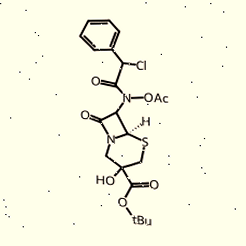 CC(=O)ON(C(=O)C(Cl)c1ccccc1)C1C(=O)N2CC(O)(C(=O)OC(C)(C)C)CS[C@H]12